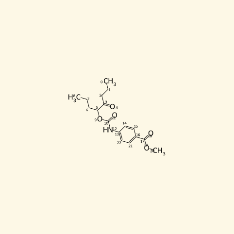 CCCC(=O)C(CCC)OC(=O)Nc1ccc(C(=O)OC)cc1